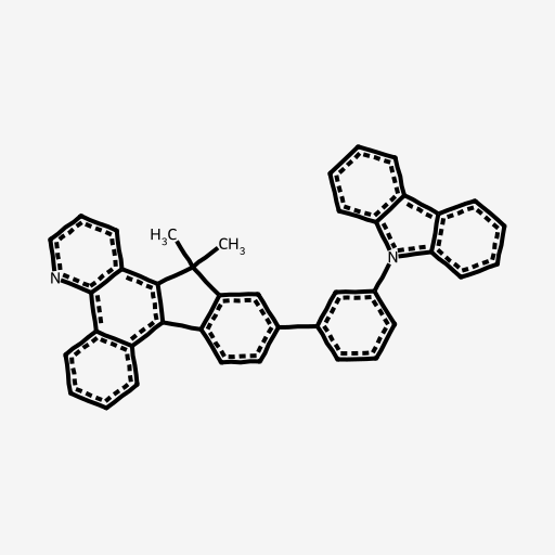 CC1(C)c2cc(-c3cccc(-n4c5ccccc5c5ccccc54)c3)ccc2-c2c1c1cccnc1c1ccccc21